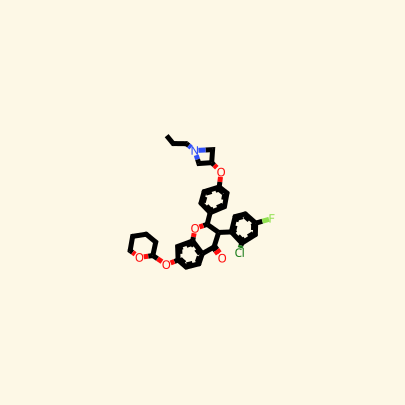 CCCN1CC(Oc2ccc(C3Oc4cc(OC5CCCCO5)ccc4C(=O)C3c3ccc(F)cc3Cl)cc2)C1